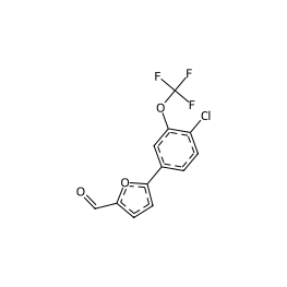 O=Cc1ccc(-c2ccc(Cl)c(OC(F)(F)F)c2)o1